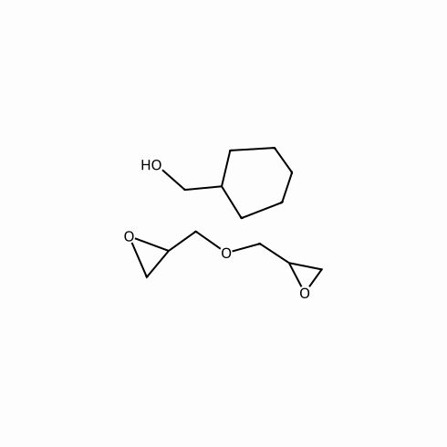 C(OCC1CO1)C1CO1.OCC1CCCCC1